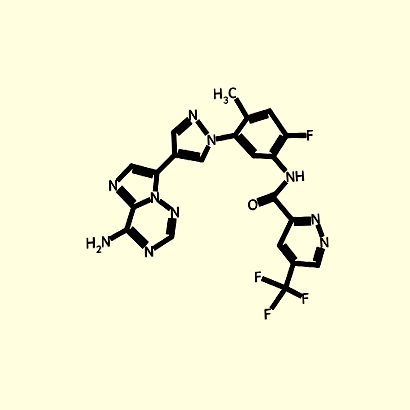 Cc1cc(F)c(NC(=O)c2cc(C(F)(F)F)cnn2)cc1-n1cc(-c2cnc3c(N)ncnn23)cn1